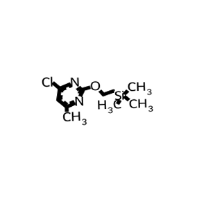 Cc1cc(Cl)nc(OCC[Si](C)(C)C)n1